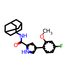 COc1cc(F)ccc1-c1c[nH]c(C(=O)NC23CC4CC(CC(C4)C2)C3)c1